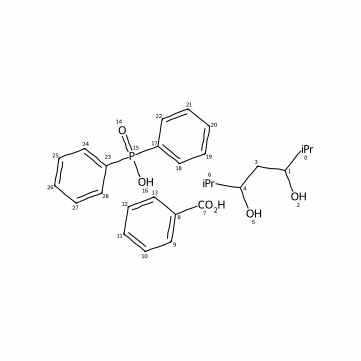 CC(C)C(O)CC(O)C(C)C.O=C(O)c1ccccc1.O=P(O)(c1ccccc1)c1ccccc1